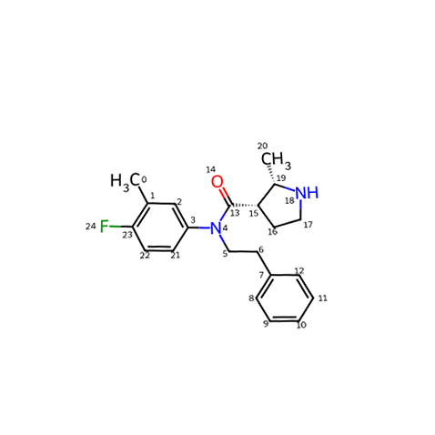 Cc1cc(N(CCc2ccccc2)C(=O)[C@H]2CCN[C@H]2C)ccc1F